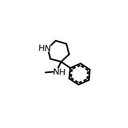 CNC1(c2ccccc2)CCCNC1